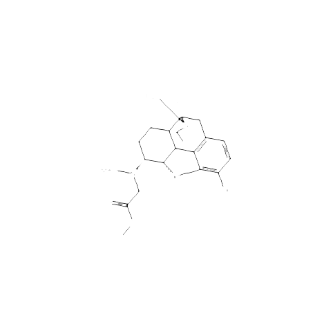 CON(CC(=O)OC(C)(C)C)[C@H]1CC[C@H]2[C@H]3Cc4ccc(O)c5c4[C@@]2(CCN3C)[C@H]1O5